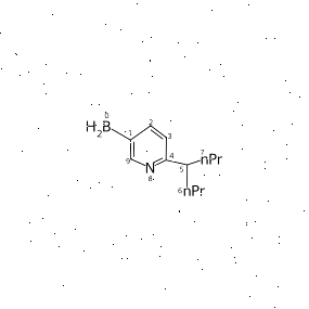 Bc1ccc(C(CCC)CCC)nc1